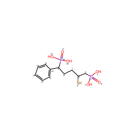 O=P(O)(O)CC(S)CCC(c1ccccc1)P(=O)(O)O